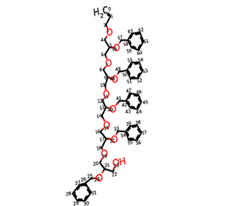 C=CCOCC(COCC(COCC(COCC(COCC(CO)OCc1ccccc1)OCc1ccccc1)OCc1ccccc1)OCc1ccccc1)OCc1ccccc1